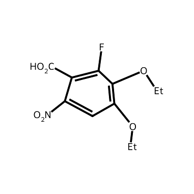 CCOc1cc([N+](=O)[O-])c(C(=O)O)c(F)c1OCC